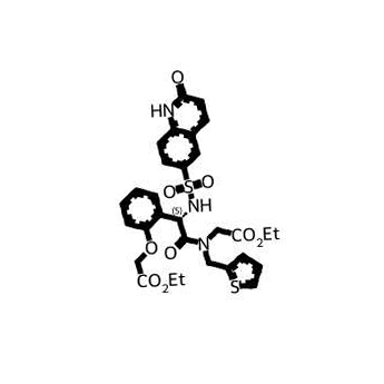 CCOC(=O)COc1ccccc1[C@H](NS(=O)(=O)c1ccc2[nH]c(=O)ccc2c1)C(=O)N(CC(=O)OCC)Cc1cccs1